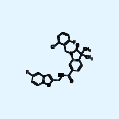 CC1(C)C(=O)N(Cc2c(F)cccc2Cl)c2cc(C(=O)NCc3cc4cc(F)ccc4o3)ccc21